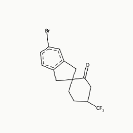 O=C1CC(C(F)(F)F)CCC12Cc1ccc(Br)cc1C2